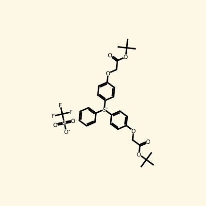 CC(C)(C)OC(=O)COc1ccc([S+](c2ccccc2)c2ccc(OCC(=O)OC(C)(C)C)cc2)cc1.O=S(=O)([O-])C(F)(F)F